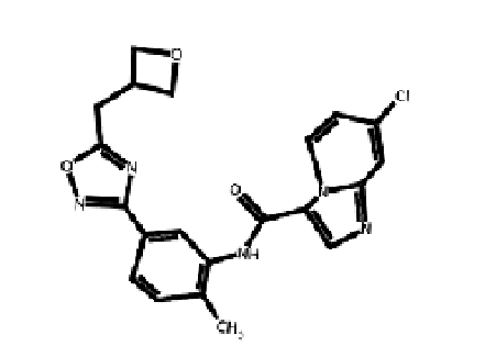 Cc1ccc(-c2noc(CC3COC3)n2)cc1NC(=O)c1cnc2cc(Cl)ccn12